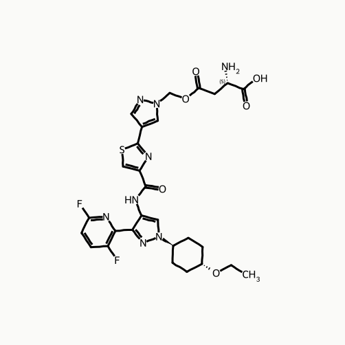 CCO[C@H]1CC[C@H](n2cc(NC(=O)c3csc(-c4cnn(COC(=O)C[C@H](N)C(=O)O)c4)n3)c(-c3nc(F)ccc3F)n2)CC1